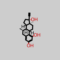 C#C[C@]1(O)CC[C@H]2[C@@H]3[C@H](C)Cc4cc(O)cc(O)c4[C@H]3CC[C@@]21C